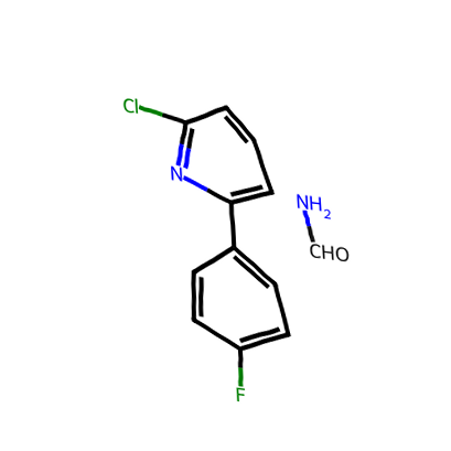 Fc1ccc(-c2cccc(Cl)n2)cc1.NC=O